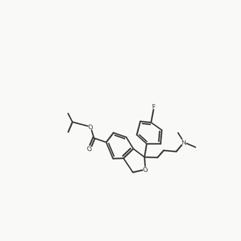 CC(C)OC(=O)c1ccc2c(c1)COC2(CCCN(C)C)c1ccc(F)cc1